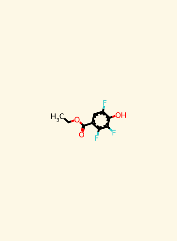 CCOC(=O)c1cc(F)c(O)c(F)c1F